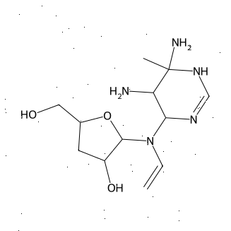 C=CN(C1N=CNC(C)(N)C1N)C1OC(CO)CC1O